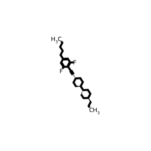 CCCCCc1cc(F)c(C#C[C@H]2CC[C@H]([C@H]3CC[C@H](CCC)CC3)CC2)c(F)c1